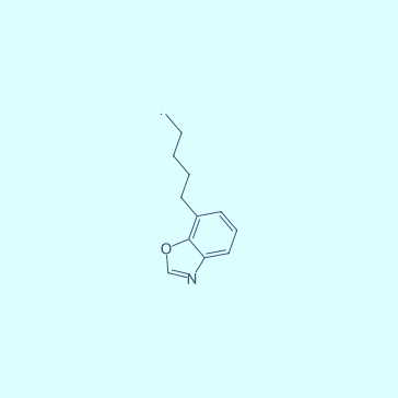 [CH2]CCCCc1cccc2ncoc12